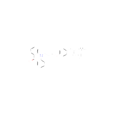 COC(Cc1ccc(OCCCn2c3ccccc3c(=O)c3ccccc32)cc1)C(=O)O